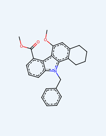 COC(=O)c1cccc2c1c1c(OC)cc3c(c1n2Cc1ccccc1)CCCC3